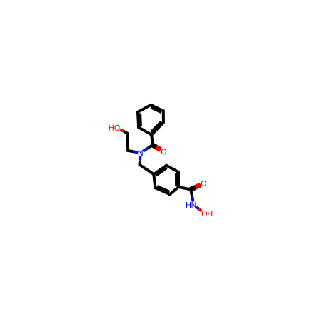 O=C(NO)c1ccc(CN(CCO)C(=O)c2ccccc2)cc1